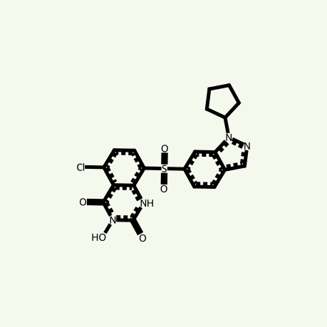 O=c1[nH]c2c(S(=O)(=O)c3ccc4cnn(C5CCCC5)c4c3)ccc(Cl)c2c(=O)n1O